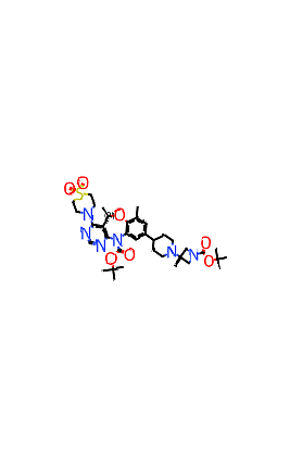 Cc1cc(C2CCN(C3(C)CN(C(=O)OC(C)(C)C)C3)CC2)cc2c1O[C@H](C)c1c(N3CCS(=O)(=O)CC3)ncnc1N2C(=O)OC(C)(C)C